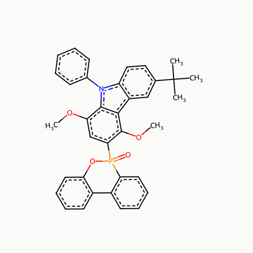 COc1c(P2(=O)Oc3ccccc3-c3ccccc32)cc(OC)c2c1c1cc(C(C)(C)C)ccc1n2-c1ccccc1